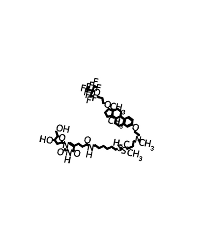 CN(CCOc1ccc2c(c1)CCC1C2CC[C@]2(C)[C@@H](OCCCOC(C(F)(F)F)(C(F)(F)F)C(F)(F)F)CC[C@@]12C)CCC(C)(C)SSCCCCCCNC(=O)CCc1cn(C2CC(O)C(CO)O2)c(=O)[nH]c1=O